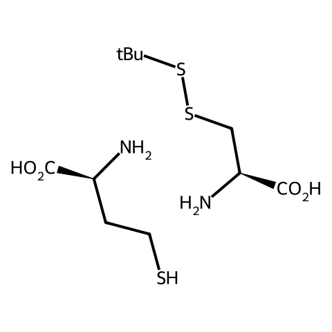 CC(C)(C)SSC[C@H](N)C(=O)O.N[C@@H](CCS)C(=O)O